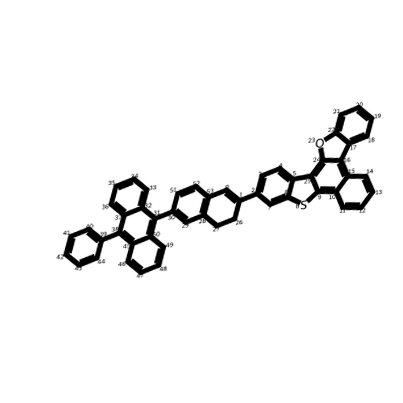 C1=C(c2ccc3c(c2)sc2c4ccccc4c4c5ccccc5oc4c32)CCc2cc(-c3c4ccccc4c(-c4ccccc4)c4ccccc34)ccc21